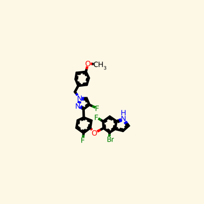 COc1ccc(Cn2cc(F)c(-c3ccc(F)c(Oc4c(F)cc5[nH]ccc5c4Br)c3)n2)cc1